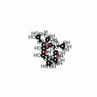 O=C(O[C@@H]1Cc2c(cc(O)c(Cc3c(O)c(Cc4c(O)cc(O)c5c4O[C@@H](c4cc(O)c(O)c(O)c4)[C@H](OC(=O)c4cc(O)c(O)c(O)c4)C5)c4c(c3O)C[C@@H](OC(=O)c3cc(O)c(O)c(O)c3)[C@@H](c3cc(O)c(O)c(O)c3)O4)c2O)O[C@@H]1c1cc(O)c(O)c(O)c1)c1cc(O)c(O)c(O)c1